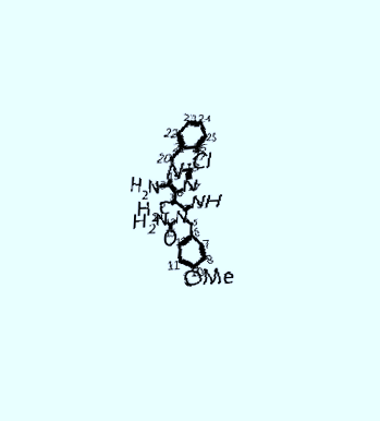 C=C(C(=N)N(Cc1ccc(OC)cc1)C(N)=O)c1ncn(Cc2ccccc2Cl)c1N